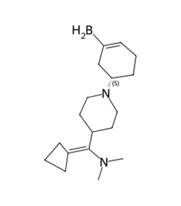 BC1=CCC[C@H](N2CCC(C(=C3CCC3)N(C)C)CC2)C1